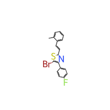 Cc1ccccc1/C=C/c1nc(-c2ccc(F)cc2)c(Br)s1